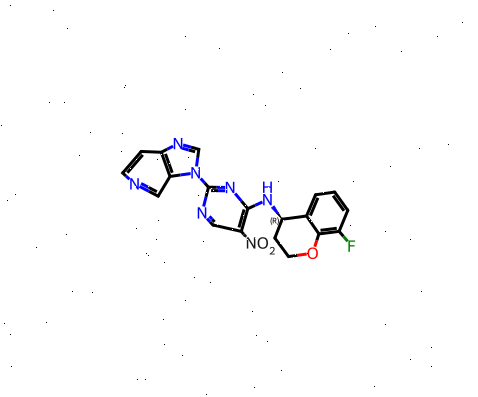 O=[N+]([O-])c1cnc(-n2cnc3ccncc32)nc1N[C@@H]1CCOc2c(F)cccc21